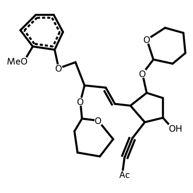 COc1ccccc1OCC(C=CC1C(OC2CCCCO2)CC(O)C1C#CC(C)=O)OC1CCCCO1